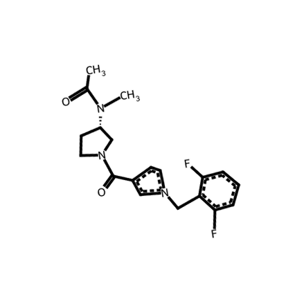 CC(=O)N(C)[C@H]1CCN(C(=O)c2ccn(Cc3c(F)cccc3F)c2)C1